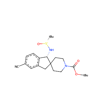 CC(C)(C)OC(=O)N1CCC2(CC1)Cc1cc(C#N)ccc1[C@@H]2N[S@+]([O-])C(C)(C)C